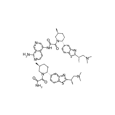 CC(CN(C)C)c1nc2cc([C@H]3CC[C@H](C)CN3C(=O)C(=O)Nc3cncc4c(N)nccc34)ccc2s1.CC(CN(C)C)c1nc2cc([C@H]3CC[C@H](C)CN3C(=O)C(N)=O)ccc2s1